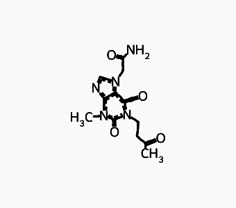 CC(=O)CCn1c(=O)c2c(ncn2CC(N)=O)n(C)c1=O